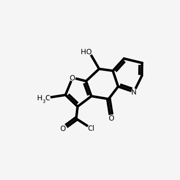 Cc1oc2c(c1C(=O)Cl)C(=O)c1ncccc1C2O